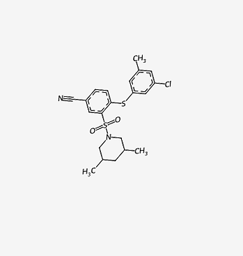 Cc1cc(Cl)cc(Sc2ccc(C#N)cc2S(=O)(=O)N2CC(C)CC(C)C2)c1